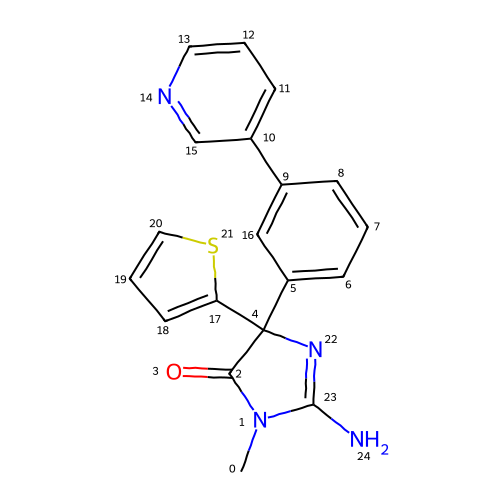 CN1C(=O)C(c2cccc(-c3cccnc3)c2)(c2cccs2)N=C1N